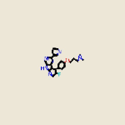 C=C(/C=c1\c(=C/N)[nH]c2ncc(F)c(-c3ccc(OCCCN(C)C)cc3)c12)c1cccnc1